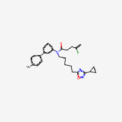 C=C(F)CCC(=O)N(CCCCCc1nc(C2CC2)no1)c1cccc(-c2ccc(C#N)cc2)c1